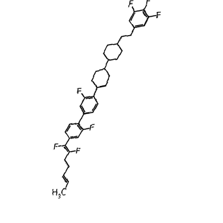 C/C=C/CC/C(F)=C(\F)c1ccc(-c2ccc(C3CCC(C4CCC(CCc5cc(F)c(F)c(F)c5)CC4)CC3)c(F)c2)c(F)c1